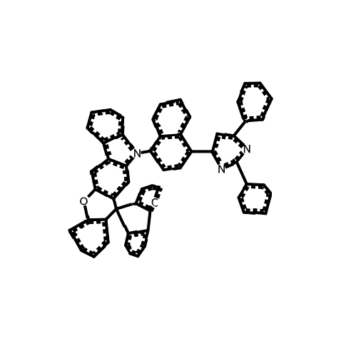 c1ccc(-c2cc(-c3ccc(-n4c5ccccc5c5cc6c(cc54)C4(c5ccccc5O6)c5ccccc5-c5ccccc54)c4ccccc34)nc(-c3ccccc3)n2)cc1